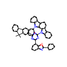 CC1(C)c2ccccc2-c2ccc(-c3nc(-c4cccc5nc(-c6ccccc6)oc45)nc(-n4c5ccccc5c5ccc6c7ccccc7n(-c7ccccc7)c6c54)n3)cc21